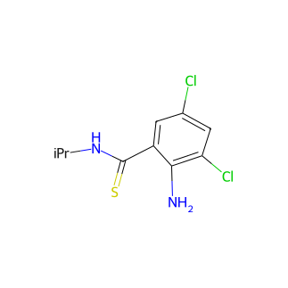 CC(C)NC(=S)c1cc(Cl)cc(Cl)c1N